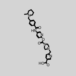 CC1CCCCN1Cc1ccc(C(=O)Nc2ccc(OC(=O)N3CCN(Cc4ccc(C(=O)O)cn4)CC3)nc2)cc1